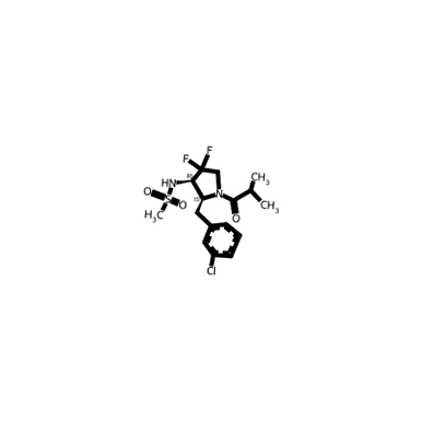 CC(C)C(=O)N1CC(F)(F)[C@H](NS(C)(=O)=O)[C@@H]1Cc1cccc(Cl)c1